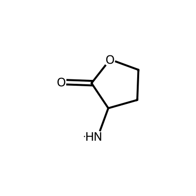 [NH]C1CCOC1=O